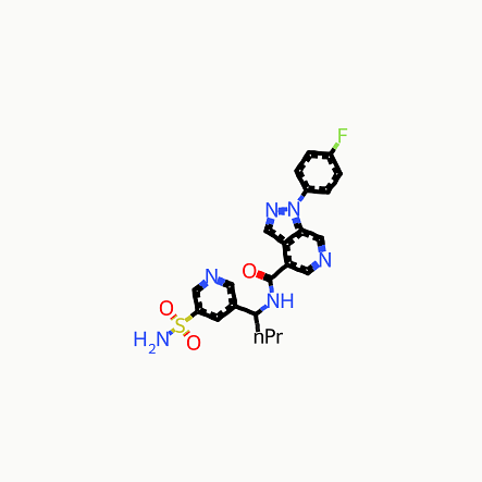 CCCC(NC(=O)c1cncc2c1cnn2-c1ccc(F)cc1)c1cncc(S(N)(=O)=O)c1